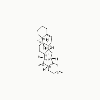 C[C@H]1CC[C@@H]2[C@@H](C)[C@H]3[C@H](C[C@H]4[C@@H]5CC=C6CCCC[C@]6(C)[C@H]5CC[C@]34C)N2C1